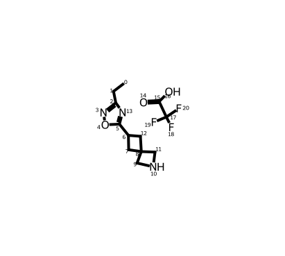 CCc1noc(C2CC3(CNC3)C2)n1.O=C(O)C(F)(F)F